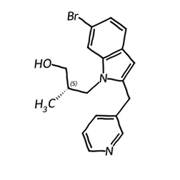 C[C@H](CO)Cn1c(Cc2cccnc2)cc2ccc(Br)cc21